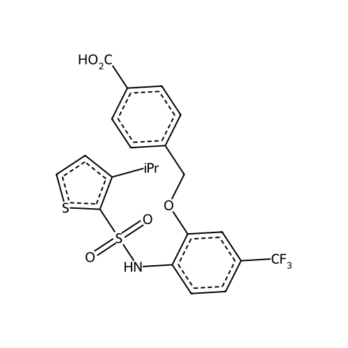 CC(C)c1ccsc1S(=O)(=O)Nc1ccc(C(F)(F)F)cc1OCc1ccc(C(=O)O)cc1